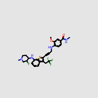 CNC(=O)c1ccc(NCC#Cc2sc3c(NC4CCN(C)CC4F)cccc3c2CC(F)(F)F)c(OC)c1